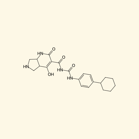 O=C(NC(=O)C1=C(O)C2CNCC2NC1=O)Nc1ccc(C2CCCCC2)cc1